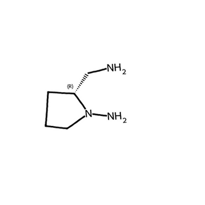 NC[C@H]1CCCN1N